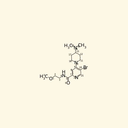 COCCNC(=O)c1cc(N2CCC(N(C)C)CC2)c(Br)cn1